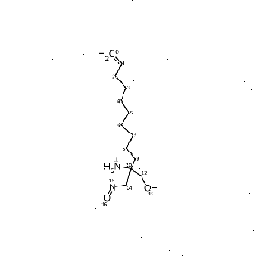 C=CCCCCCCCCC(N)(CO)CN=O